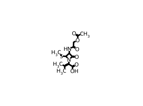 CSC1C(NC(=O)COC(C)=O)C(=O)N1C(C(=O)O)=C(C)C